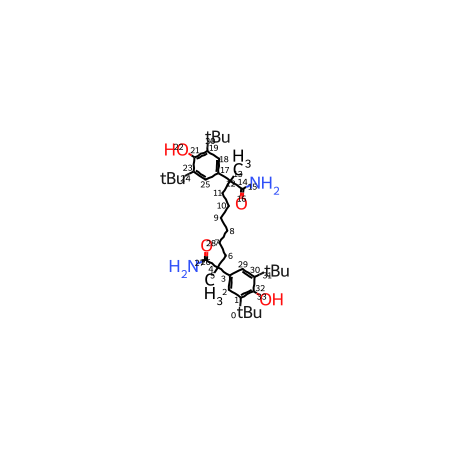 CC(C)(C)c1cc(C(C)(CCCCCCC(C)(C(N)=O)c2cc(C(C)(C)C)c(O)c(C(C)(C)C)c2)C(N)=O)cc(C(C)(C)C)c1O